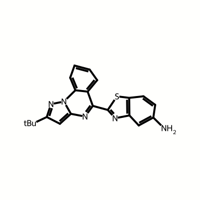 CC(C)(C)c1cc2nc(-c3nc4cc(N)ccc4s3)c3ccccc3n2n1